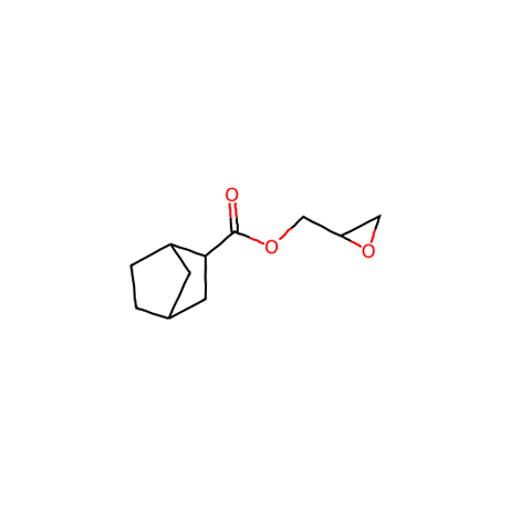 O=C(OCC1CO1)C1CC2CCC1C2